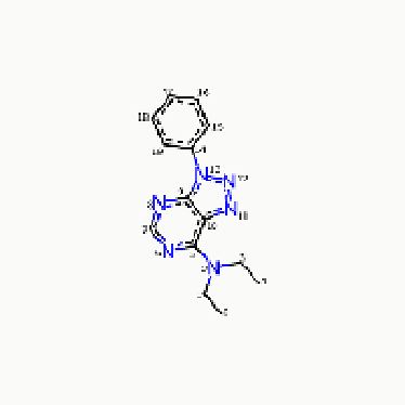 CCN(CC)c1ncnc2c1nnn2-c1ccccc1